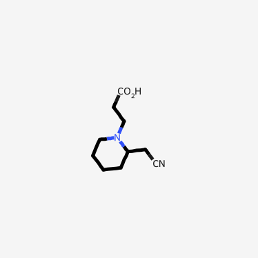 N#CCC1CCCCN1CCC(=O)O